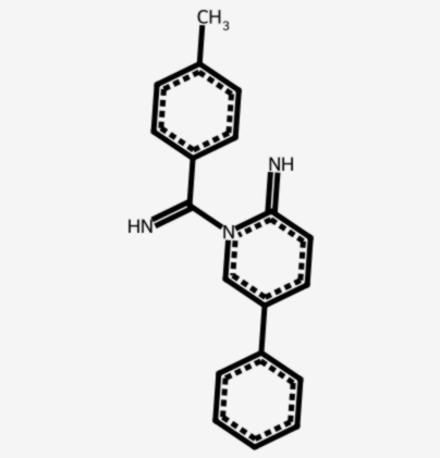 Cc1ccc(C(=N)n2cc(-c3ccccc3)ccc2=N)cc1